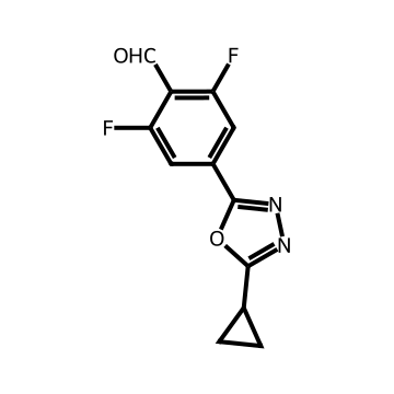 O=Cc1c(F)cc(-c2nnc(C3CC3)o2)cc1F